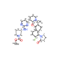 Cc1ccc2c(N3CCCC3=O)c(F)ccc2c1Oc1ncccc1-c1ccnc(N[C@H]2CCCN(C(=O)OC(C)(C)C)C2)n1